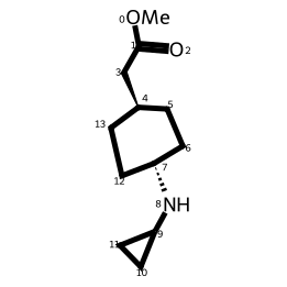 COC(=O)C[C@H]1CC[C@H](NC2CC2)CC1